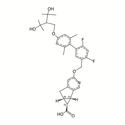 Cc1cc(OCC(C(C)(C)O)C(C)(C)O)cc(C)c1-c1cc(COc2cc3c(cn2)[C@H]2[C@@H](C3)[C@@H]2C(=O)O)c(F)cc1F